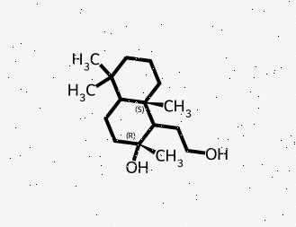 CC1(C)CCC[C@@]2(C)C1CC[C@@](C)(O)C2CCO